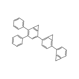 c1ccc(-c2cc(-c3ccc(-c4cccc5c4C5)c4c3C4)c3c(c2-c2ccccc2)C3)cc1